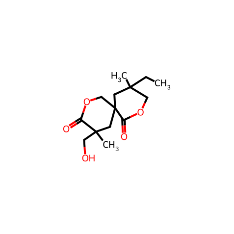 CCC1(C)COC(=O)C2(COC(=O)C(C)(CO)C2)C1